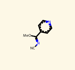 CO/C(=N\C#N)c1ccncc1